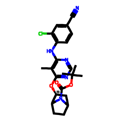 Cc1c(Nc2ccc(C#N)cc2Cl)ncnc1O[C@H]1CC2CCC1N2C(=O)OC(C)(C)C